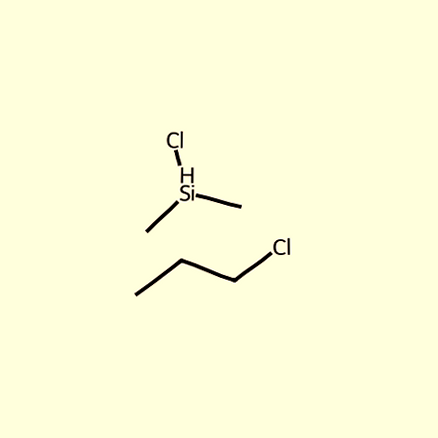 CCCCl.C[SiH](C)Cl